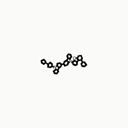 C1=C(c2ccccc2)c2c(oc3c(-n4c5ccccc5c5cc(-c6ccc7c(c6)c6ccccc6n7-c6ccc(-c7ccccc7)cc6)ccc54)cccc23)CC1